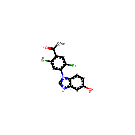 COC(=O)c1cc(F)c(-n2cnc3cc(O)ccc32)cc1Br